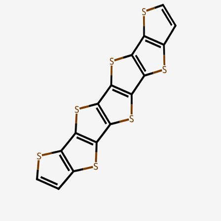 c1cc2sc3c(sc4c3sc3c5sc6ccsc6c5sc34)c2s1